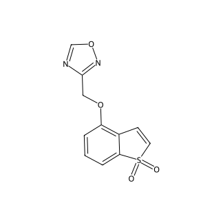 O=S1(=O)C=Cc2c(OCc3ncon3)cccc21